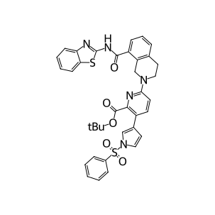 CC(C)(C)OC(=O)c1nc(N2CCc3cccc(C(=O)Nc4nc5ccccc5s4)c3C2)ccc1-c1ccn(S(=O)(=O)c2ccccc2)c1